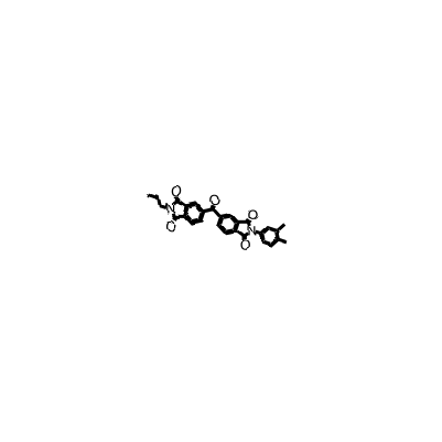 CCCN1C(=O)c2ccc(C(=O)c3ccc4c(c3)C(=O)N(c3ccc(C)c(C)c3)C4=O)cc2C1=O